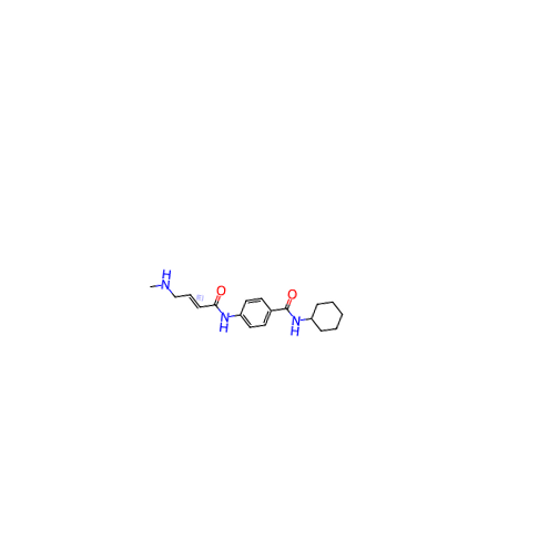 CNC/C=C/C(=O)Nc1ccc(C(=O)NC2CCCCC2)cc1